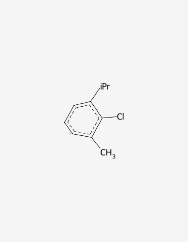 Cc1[c]ccc(C(C)C)c1Cl